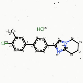 Cc1cc(-c2ccc(-c3cn4c(n3)CCCC4)cc2)ccc1Cl.Cl